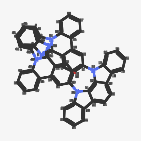 c1ccc2c(c1)nc1c3ccc(-n4c5ccccc5c5ccc6c7ccccc7n(-c7ccc8c(c7)c7ccccc7n7c9ccccc9nc87)c6c54)cc3c3ccccc3n21